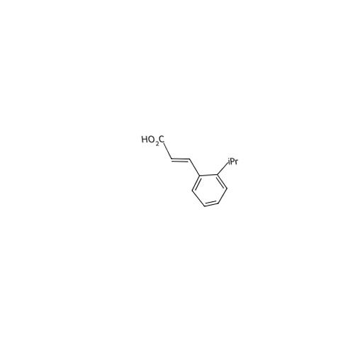 CC(C)c1ccccc1C=CC(=O)O